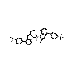 CCC1=Cc2c(-c3ccc(C(C)(C)C)cc3)cccc2C1[Si](C)(C)C1C(C)=Cc2c(-c3ccc(C(C)(C)C)cc3)cccc21